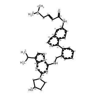 CC(C)c1cnn2c(NCc3ccccc3-c3nccc4cc(NC(=O)/C=C/CN(C)C)ccc34)nc(N3CCC(O)C3)nc12